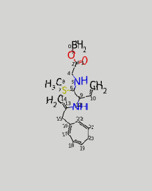 BOC(=O)CNC(SC)C(C=C)NC(=C)CC1=CC=CCC=C1